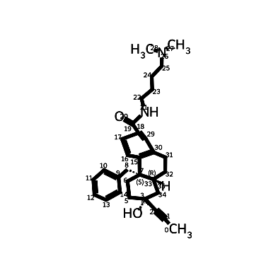 CC#C[C@@]1(O)CC[C@@]2(Cc3ccccc3)c3ccc(C(=O)NCCCCN(C)C)cc3CC[C@@H]2C1